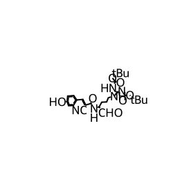 CC(C)(C)OC(=O)/N=C(\NCCCC(C=O)NC(=O)/C(C#N)=C/c1ccc(O)cc1)NC(=O)OC(C)(C)C